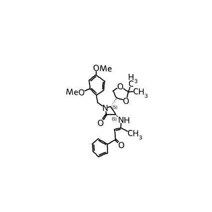 COc1ccc(CN2C(=O)[C@@H](NC(C)=CC(=O)c3ccccc3)[C@H]2C2COC(C)(C)O2)c(OC)c1